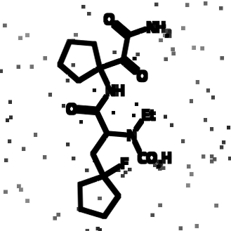 CCN(C(=O)O)C(CC1(F)CCCC1)C(=O)NC1(C(=O)C(N)=O)CCCC1